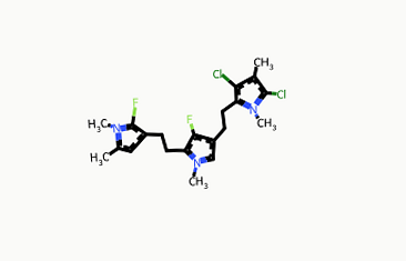 Cc1c(Cl)c(CCc2cn(C)c(CCc3cc(C)n(C)c3F)c2F)n(C)c1Cl